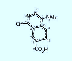 CNc1nnc(Cl)c2cc(C(=O)O)ccc12